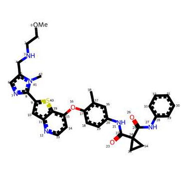 COCCNCc1cnc(-c2cc3nccc(Oc4ccc(NC(=O)C5(C(=O)Nc6ccccc6)CC5)cc4C)c3s2)n1C